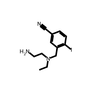 CCN(CCN)Cc1cc(C#N)ccc1I